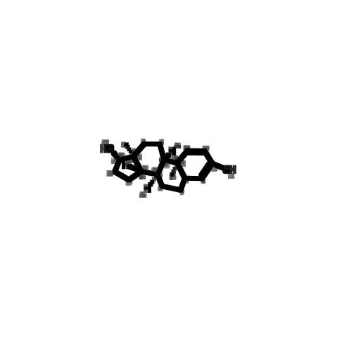 C[C@]12CC[C@H]3[C@@H](CCC4C=C(O)C=C[C@@]43C)[C@@H]1CC[C@H]2O